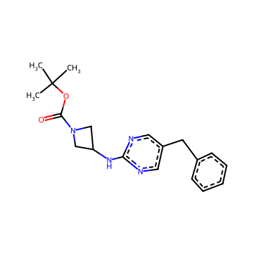 CC(C)(C)OC(=O)N1CC(Nc2ncc(Cc3ccccc3)cn2)C1